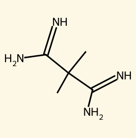 CC(C)(C(=N)N)C(=N)N